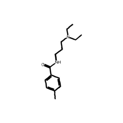 CCN(CC)CCCNC(=O)c1ccc(C)cc1